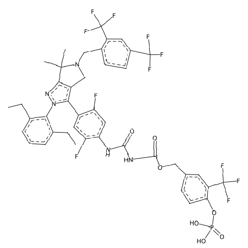 CCc1cccc(CC)c1-n1nc2c(c1-c1cc(F)c(NC(=O)NC(=O)OCc3ccc(OP(=O)(O)O)c(C(F)(F)F)c3)cc1F)CN(Cc1ccc(C(F)(F)F)cc1C(F)(F)F)C2(C)C